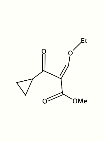 CCO/C=C(/C(=O)OC)C(=O)C1CC1